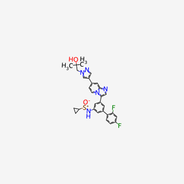 CC(C)(O)Cn1cc(-c2ccn3c(-c4cc(N[S+]([O-])C5CC5)cc(-c5ccc(F)cc5F)c4)cnc3c2)cn1